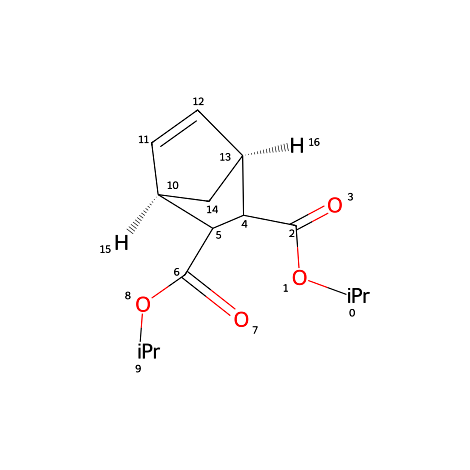 CC(C)OC(=O)C1C(C(=O)OC(C)C)[C@H]2C=C[C@@H]1C2